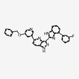 Fc1cccc(-c2cccc3[nH]c(-c4n[nH]c5ccc(-c6cncc(OCc7ccccc7)c6)nc45)nc23)c1